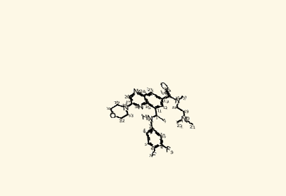 CC(Nc1ccc(F)c(F)c1)c1cc(C(=O)N(C)CCN(C)C)cc2ncc(N3CCOCC3)nc12